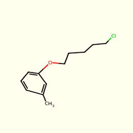 Cc1cccc(OCCCCCCl)c1